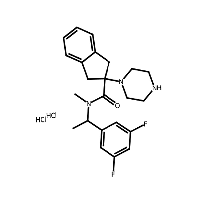 CC(c1cc(F)cc(F)c1)N(C)C(=O)C1(N2CCNCC2)Cc2ccccc2C1.Cl.Cl